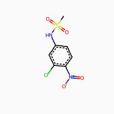 CS(=O)(=O)Nc1ccc([N+](=O)[O-])c(Cl)c1